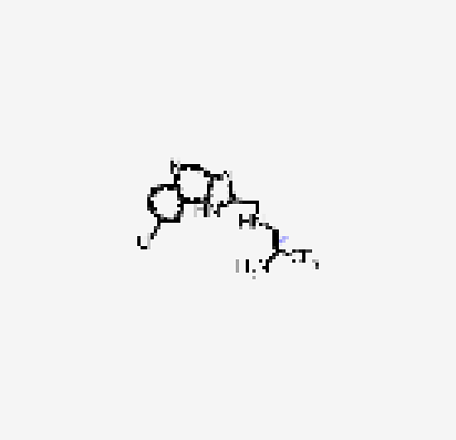 N/C(=C\NCc1nc2cnc3ccc(Cl)cc3c2[nH]1)C(F)(F)F